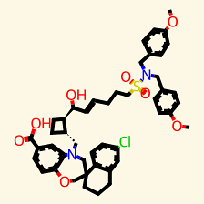 COc1ccc(CN(Cc2ccc(OC)cc2)S(=O)(=O)CCC/C=C/C(O)[C@@H]2CC[C@H]2CN2CC3(CCCc4cc(Cl)ccc43)COc3ccc(C(=O)O)cc32)cc1